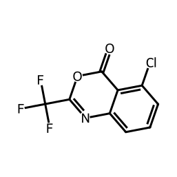 O=c1oc(C(F)(F)F)nc2cccc(Cl)c12